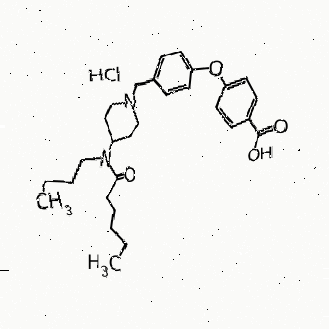 CCCCCC(=O)N(CCCC)C1CCN(Cc2ccc(Oc3ccc(C(=O)O)cc3)cc2)CC1.Cl